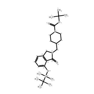 CC(C)(C)OC(=O)N1CCC(CN2Cc3cccc(O[Si](C)(C)C(C)(C)C)c3C2=O)CC1